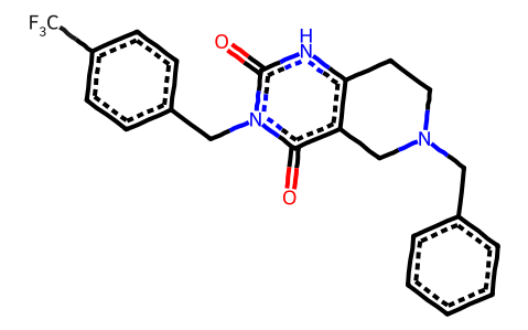 O=c1[nH]c2c(c(=O)n1Cc1ccc(C(F)(F)F)cc1)CN(Cc1ccccc1)CC2